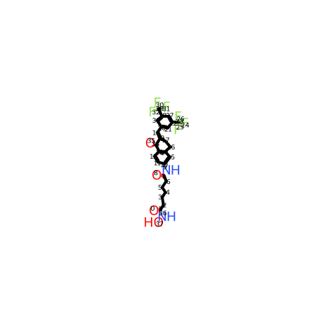 O=C(CCCCCC(=O)Nc1ccc2c(c1)CC/C(=C\c1cc(C(F)(F)F)cc(C(F)(F)F)c1)C2=O)NO